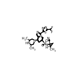 C[C@@H]1C[C@@]1(C#N)NS(=O)(=O)c1cc(N2C[C@H](C)N[C@@H](C)C2)c2cnc(-c3nnc(C(F)F)s3)n2c1